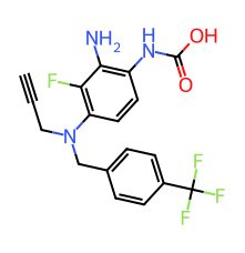 C#CCN(Cc1ccc(C(F)(F)F)cc1)c1ccc(NC(=O)O)c(N)c1F